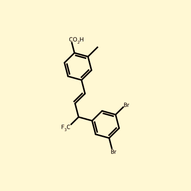 Cc1cc(/C=C/C(c2cc(Br)cc(Br)c2)C(F)(F)F)ccc1C(=O)O